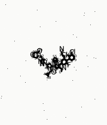 Cc1nc2c(F)c(-c3cccc(Cl)c3Cl)c(CCC#N)cc2c2c1cc(C1CC(n3cc(CN4CCOCC4=O)nn3)CN1C(=O)C1CC1)n2C1C2CNC1C2